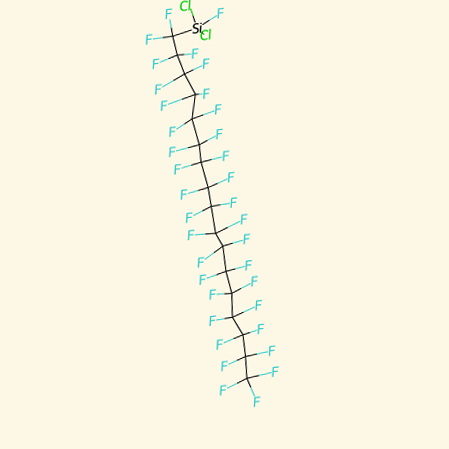 FC(F)(F)C(F)(F)C(F)(F)C(F)(F)C(F)(F)C(F)(F)C(F)(F)C(F)(F)C(F)(F)C(F)(F)C(F)(F)C(F)(F)C(F)(F)C(F)(F)C(F)(F)C(F)(F)C(F)(F)[Si](F)(Cl)Cl